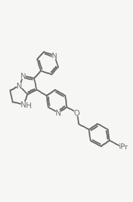 CC(C)c1ccc(COc2ccc(-c3c(-c4ccncc4)nn4c3NCC4)cn2)cc1